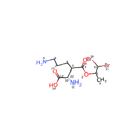 CC(OC(=O)C(CCCN)[C@H](N)C(=O)O)C(Br)Br